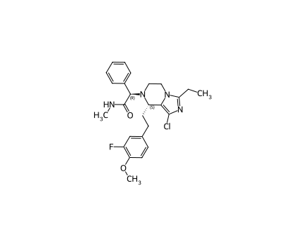 CCc1nc(Cl)c2n1CCN([C@@H](C(=O)NC)c1ccccc1)[C@H]2CCc1ccc(OC)c(F)c1